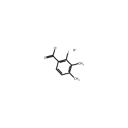 Cc1ccc(C(=O)[O-])c(I)c1C.[K+]